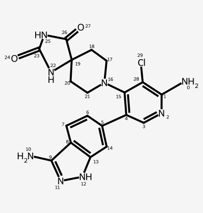 Nc1ncc(-c2ccc3c(N)n[nH]c3c2)c(N2CCC3(CC2)NC(=O)NC3=O)c1Cl